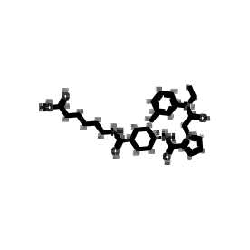 CCN(C(=O)Cn1cccc1C(=O)N[C@H]1CC[C@H](C(=O)NCCCCCC(=O)O)CC1)c1cccc(C)c1